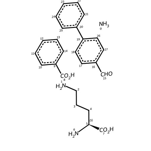 N.NCCC[C@H](N)C(=O)O.O=C(O)c1ccccc1.O=Cc1ccc(-c2ccccc2)cc1